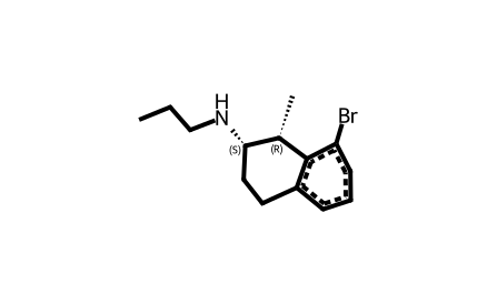 CCCN[C@H]1CCc2cccc(Br)c2[C@H]1C